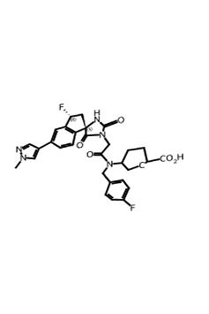 Cn1cc(-c2ccc3c(c2)[C@H](F)C[C@]32NC(=O)N(CC(=O)N(Cc3ccc(F)cc3)C3CCC(C(=O)O)CC3)C2=O)cn1